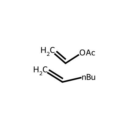 C=CCCCC.C=COC(C)=O